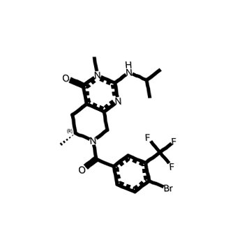 CC(C)Nc1nc2c(c(=O)n1C)C[C@@H](C)N(C(=O)c1ccc(Br)c(C(F)(F)F)c1)C2